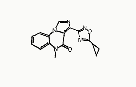 Cn1c(=O)c2c(-c3noc(C4CC4)n3)ncn2c2ccccc21